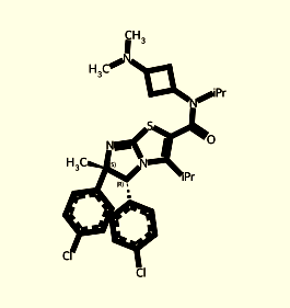 CC(C)C1=C(C(=O)N(C(C)C)C2CC(N(C)C)C2)SC2=N[C@@](C)(c3ccc(Cl)cc3)[C@@H](c3ccc(Cl)cc3)N21